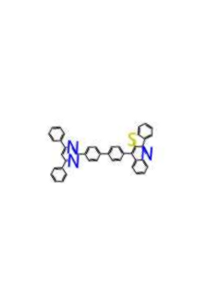 c1ccc(-c2cc(-c3ccccc3)nc(-c3ccc(-c4ccc(-c5c6ccccc6nc6c5sc5ccccc56)cc4)cc3)n2)cc1